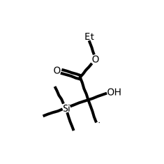 [CH2]C(O)(C(=O)OCC)[Si](C)(C)C